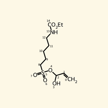 C=CC(O)OS(=O)(=O)CCCCCNC(=O)OCC